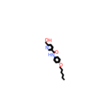 CCCCCCOc1ccc(NC(=O)c2ccc(CO)nc2)cc1